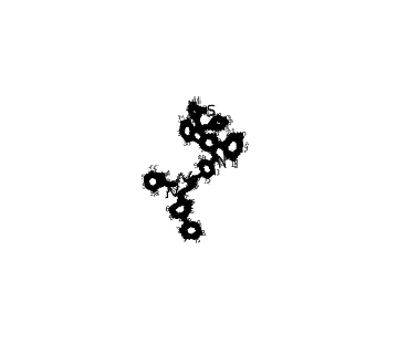 c1ccc(-c2ccc(-c3cc(-c4ccc(-c5nc6ccccc6c6cc7c(cc56)-c5ccccc5C75c6ccccc6Sc6ccccc65)cc4)nc(-c4ccccc4)n3)cc2)cc1